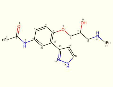 CCCC(=O)Nc1ccc(OCC(O)CNC(C)(C)C)c(-c2cc[nH]n2)c1